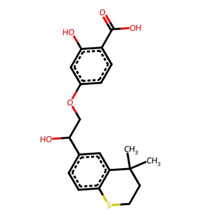 CC1(C)CCSc2ccc(C(O)COc3ccc(C(=O)O)c(O)c3)cc21